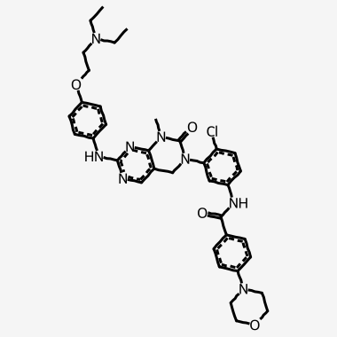 CCN(CC)CCOc1ccc(Nc2ncc3c(n2)N(C)C(=O)N(c2cc(NC(=O)c4ccc(N5CCOCC5)cc4)ccc2Cl)C3)cc1